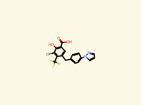 O=C(O)c1cc(Cc2ccc(-n3cccn3)cc2)c(C(F)(F)F)c(Cl)c1O